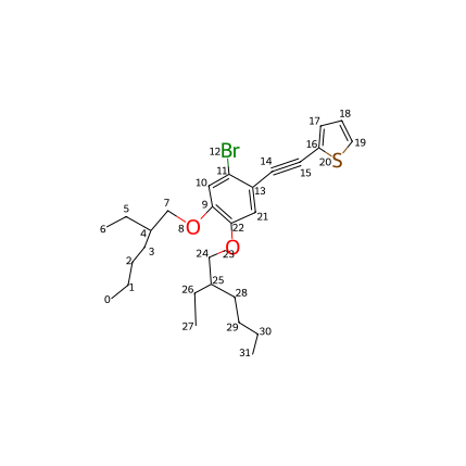 CCCCC(CC)COc1cc(Br)c(C#Cc2cccs2)cc1OCC(CC)CCCC